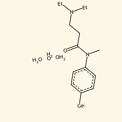 CCN(CC)CCC(=O)N(C)c1cc[c]([Ge])cc1.O.O.O